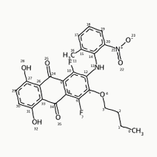 CCCCOc1c(F)c2c(c(F)c1Nc1c(C)cccc1[N+](=O)[O-])C(=O)c1c(O)ccc(O)c1C2=O